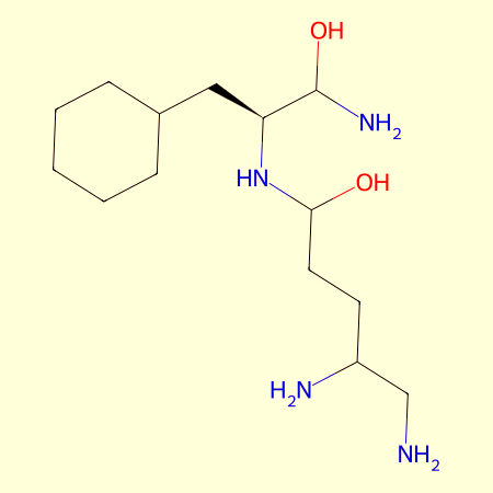 NCC(N)CCC(O)N[C@@H](CC1CCCCC1)C(N)O